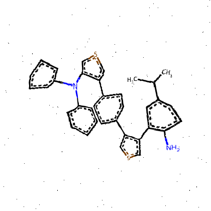 CC(C)c1ccc(N)c(-c2cscc2-c2ccc(-c3cscc3N(c3ccccc3)c3ccccc3)cc2)c1